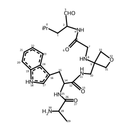 CC(C)CC(C=O)NC(=O)CNC1(CNC(=O)C(Cc2c[nH]c3ccccc23)NC(=O)C(C)N)COC1